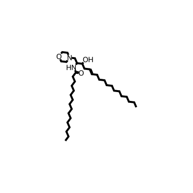 CCCCCCCCCCCCC=CCC(O)C(CN1CCOCC1)NC(=O)CCCCCCCCCCCCCCC